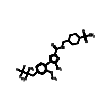 COc1cc(CC(C)(C)C(F)(F)F)ccc1-n1cc(C(=O)NCC2CCC(S(C)(=O)=O)CC2)nc1C